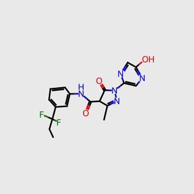 CCC(F)(F)c1cccc(NC(=O)C2C(=O)N(c3cnc(O)cn3)N=C2C)c1